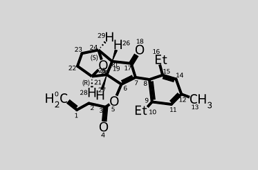 C=CCC(=O)OC1=C(c2c(CC)cc(C)cc2CC)C(=O)[C@@H]2[C@H]1[C@H]1CC[C@@H]2O1